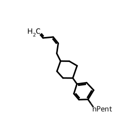 C=C/C=C\CC1CCC(c2ccc(CCCCC)cc2)CC1